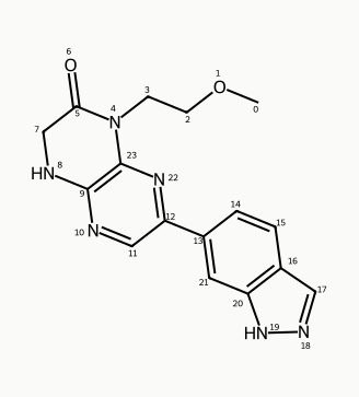 COCCN1C(=O)CNc2ncc(-c3ccc4cn[nH]c4c3)nc21